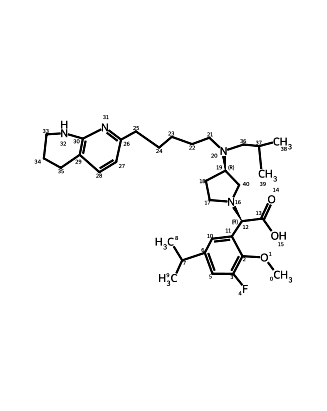 COc1c(F)cc(C(C)C)cc1[C@H](C(=O)O)N1CC[C@@H](N(CCCCCc2ccc3c(n2)NCCC3)CC(C)C)C1